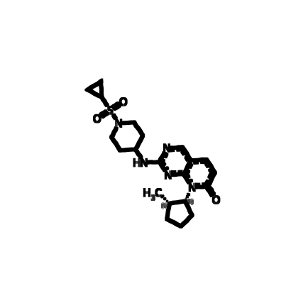 C[C@H]1CCC[C@H]1n1c(=O)ccc2cnc(NC3CCN(S(=O)(=O)C4CC4)CC3)nc21